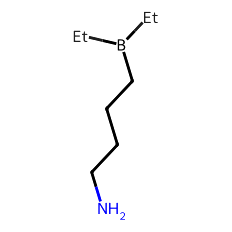 CCB(CC)CCCCN